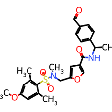 COc1cc(C)c(S(=O)(=O)N(C)Cc2cc(C(=O)NC(C)c3ccc(C=O)cc3)co2)c(C)c1